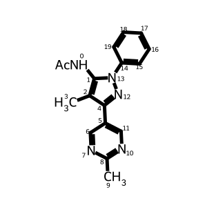 CC(=O)Nc1c(C)c(-c2cnc(C)nc2)nn1-c1ccccc1